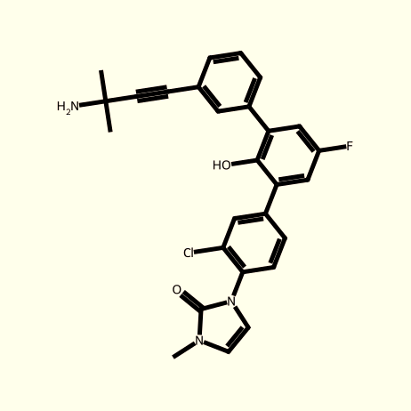 Cn1ccn(-c2ccc(-c3cc(F)cc(-c4cccc(C#CC(C)(C)N)c4)c3O)cc2Cl)c1=O